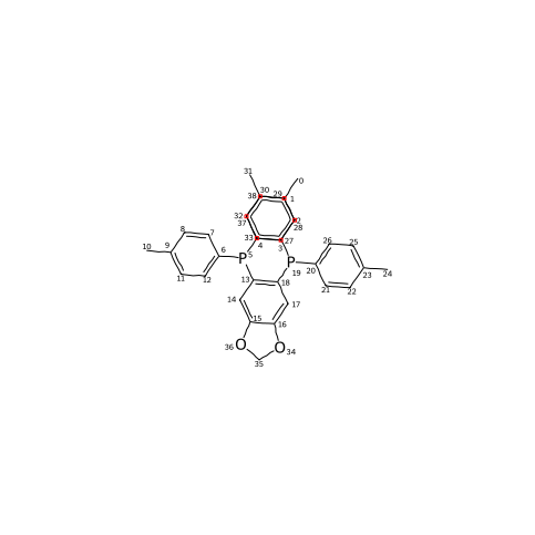 Cc1ccc(P(c2ccc(C)cc2)c2cc3c(cc2P(c2ccc(C)cc2)c2ccc(C)cc2)OCO3)cc1